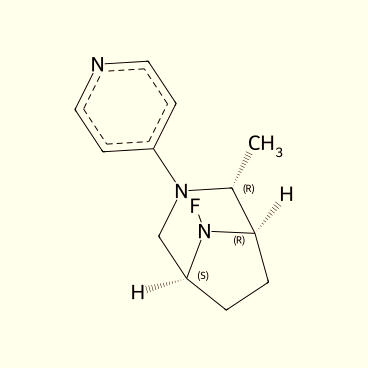 C[C@@H]1[C@H]2CC[C@@H](CN1c1ccncc1)N2F